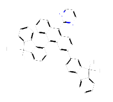 CC1(C)c2ccccc2-c2ccc(-c3ccc4c(-c5ncccn5)c5ccccc5c(-c5cccc6c5-c5ccccc5C6(C)C)c4c3)cc21